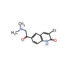 CCc1cc2cc(C(=O)CN(C)C)ccc2[nH]c1=O